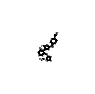 N#Cc1cnc(Nc2cc(-c3c(F)cccc3O[C@@H]3CCC[C@@H]3N)[nH]n2)cn1